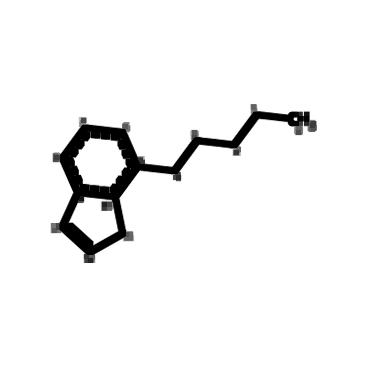 CCCCCc1cccc2c1CC=C2